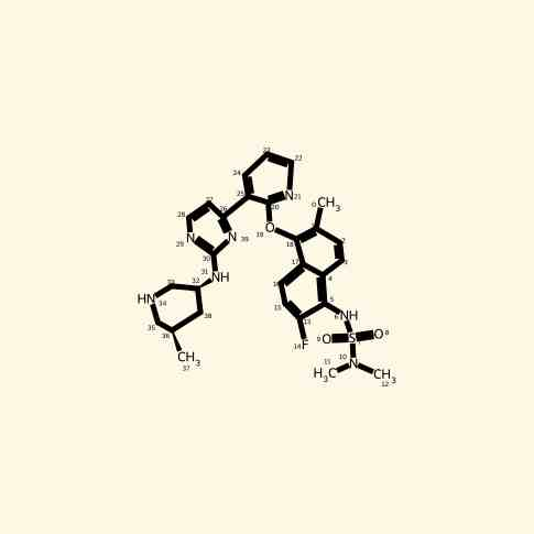 Cc1ccc2c(NS(=O)(=O)N(C)C)c(F)ccc2c1Oc1ncccc1-c1ccnc(N[C@@H]2CNC[C@H](C)C2)n1